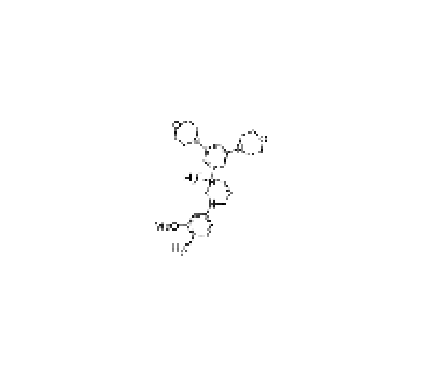 COc1cc(N2CC=C[N+](C)(c3cc(N4CCOCC4)cc(N4CCOCC4)c3)C2)ccc1C